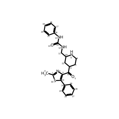 Cc1nc(C(=O)C2CCNC(CNC(=O)Nc3ccccc3)C2)c(-c2ccccc2)s1